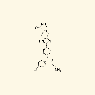 NCCOC(c1ccc(Cl)cc1)c1ccc(-c2nc3ccc(C(N)=O)cc3[nH]2)cc1